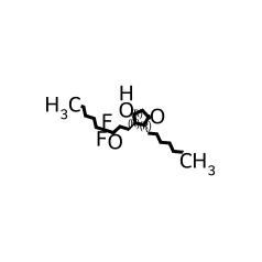 CCCCCCC[C@H]1C(=O)C[C@@H](O)[C@@H]1CCC(=O)C(F)(F)CCCCC